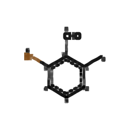 Cc1[c]ccc(Br)c1C=O